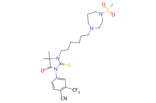 CC1(C)C(=O)N(c2ccc(C#N)c(C(F)(F)F)c2)C(=S)N1CCCCCCN1CCCN(S(C)(=O)=O)CC1